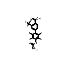 NC(=O)Oc1c(F)c(F)c(-c2ccc(C(=O)O)c(C(F)(F)F)c2)c(F)c1F